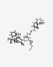 CCCOCCN(CCCCc1ccc2c(n1)NCCC2)CCC(NC(=O)c1ncccc1C(F)(F)F)C(=O)O